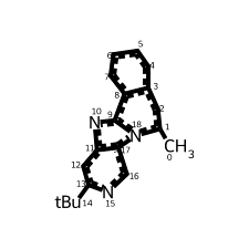 Cc1cc2ccccc2c2nc3cc(C(C)(C)C)ncc3n12